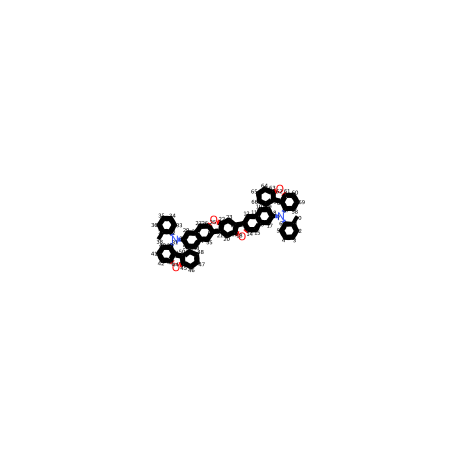 Cc1ccccc1N(c1ccc2cc3c(cc2c1)oc1cc2c(cc13)oc1cc3cc(N(c4ccccc4C)c4cccc5oc6ccccc6c45)ccc3cc12)c1cccc2oc3ccccc3c12